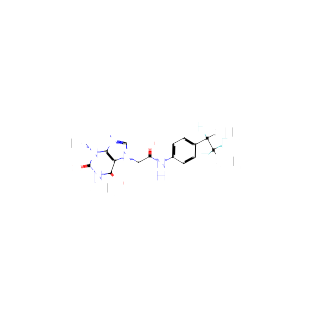 Cn1c(=O)c2c(ncn2CC(=O)Nc2ccc(C(C)(F)C(C)(F)F)cc2)n(C)c1=O